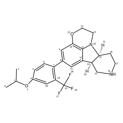 CC(C)Oc1ccc(-c2cc3c4c(c2)[C@@H]2CNCC[C@@H]2N4CCO3)c(C(F)(F)F)c1